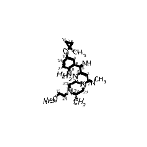 C/N=C(\C=C(/N)C(=N)c1cc(OC2(C)CC2)ccc1N)N1CCN(CCOC)[C@H](C)C1